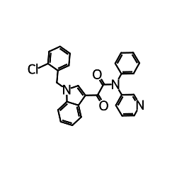 O=C(C(=O)N(c1ccccc1)c1cccnc1)c1cn(Cc2ccccc2Cl)c2ccccc12